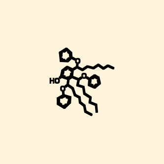 CCCCCCCC(Oc1ccccc1)c1ccc(O)c(C(CCCCCCC)Oc2ccccc2)c1C(CCCCCCC)Oc1ccccc1